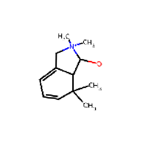 CC1(C)C=CC=C2C[N+](C)(C)C([O])C21